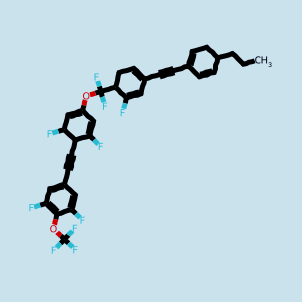 CCCC1C=CC(C#CC2=CCC(C(F)(F)OC3=CC(F)C(C#Cc4cc(F)c(OC(F)(F)F)c(F)c4)C(F)=C3)C(F)=C2)=CC1